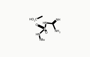 CC(=O)O.CCCCNS(=O)(=O)NC(=N)N